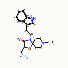 CCC1SC2(CCN(C)CC2)N(CCc2c[nH]c3ccccc23)C1=O